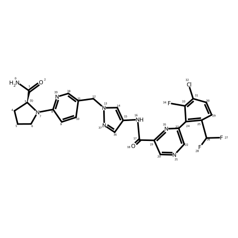 NC(=O)[C@@H]1CCCN1c1ccc(Cn2cc(NC(=O)c3cncc(-c4c(C(F)F)ccc(Cl)c4F)n3)cn2)cn1